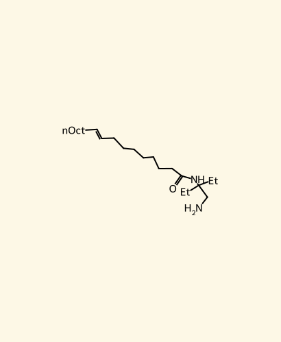 CCCCCCCCC=CCCCCCCCC(=O)NC(CC)(CC)CN